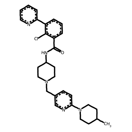 CC1CCN(c2ccc(CN3CCC(NC(=O)c4cccc(-c5ccccn5)c4Cl)CC3)cn2)CC1